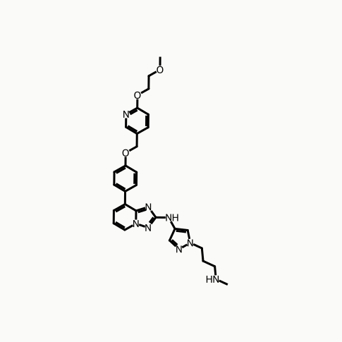 CNCCCn1cc(Nc2nc3c(-c4ccc(OCc5ccc(OCCOC)nc5)cc4)cccn3n2)cn1